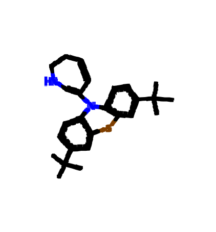 CC(C)(C)c1ccc2c(c1)Sc1cc(C(C)(C)C)ccc1N2C1=CNCCC=C1